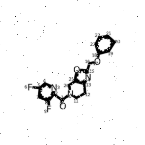 O=C(c1ncc(F)cc1F)N1CCc2nc(COc3ccccc3)oc2C1